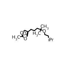 CC(C)CCOC(C)(C)CCCC1=C2OC(C)(OC1)O2